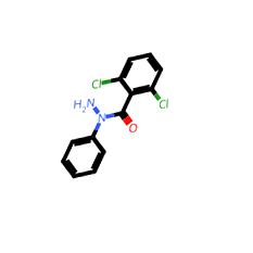 NN(C(=O)c1c(Cl)cccc1Cl)c1ccccc1